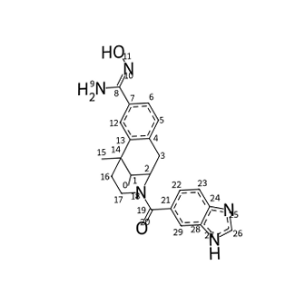 CC1C2Cc3ccc(/C(N)=N/O)cc3C1(C)CCN2C(=O)c1ccc2nc[nH]c2c1